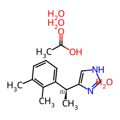 CC(=O)O.Cc1cccc([C@H](C)c2c[nH]cn2)c1C.O.O.O